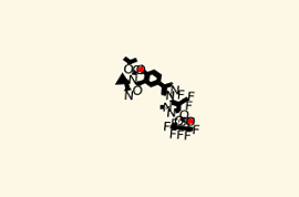 CC(C)OC(=O)N(C(=O)c1cc(-c2cnn(-c3c(C(F)(F)F)c(OS(=O)(=O)C(F)(C(F)(F)F)C(F)(F)F)nn3C)c2)ccc1Cl)C1(C#N)CC1